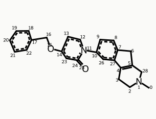 CN1CCC2=C(Cc3ccc(-n4ccc(OCc5ccccc5)cc4=O)cc32)C1